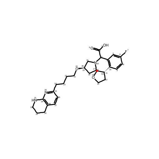 O=C(O)C(c1cc(F)ccc1[C@@H]1CCOC1)N1CC[C@@H](OCCCCc2ccc3c(n2)NCCC3)C1